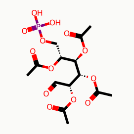 CC(=O)O[C@@H]([C@H](OC(C)=O)[C@@H](COP(=O)(O)O)OC(C)=O)[C@@H](C=O)OC(C)=O